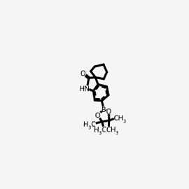 CC1(C)OB(c2ccc3c(c2)NC(=O)C32CCCCC2)OC1(C)C